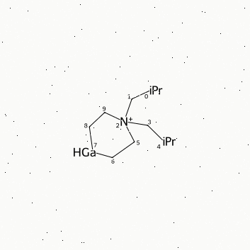 CC(C)C[N+]1(CC(C)C)C[CH2][GaH][CH2]C1